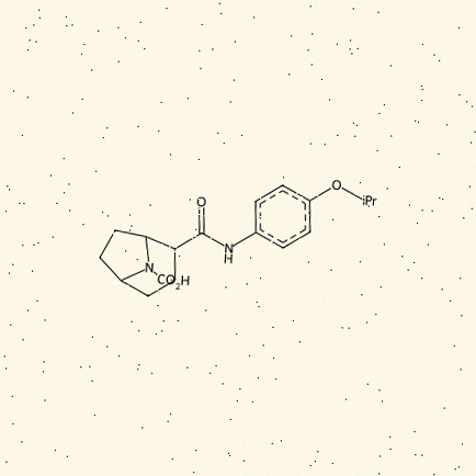 CC(C)Oc1ccc(NC(=O)C2CCC3CCC2N3C(=O)O)cc1